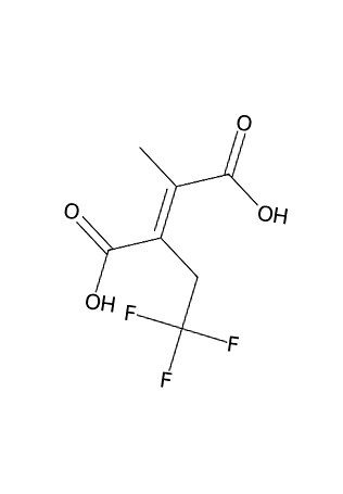 CC(C(=O)O)=C(CC(F)(F)F)C(=O)O